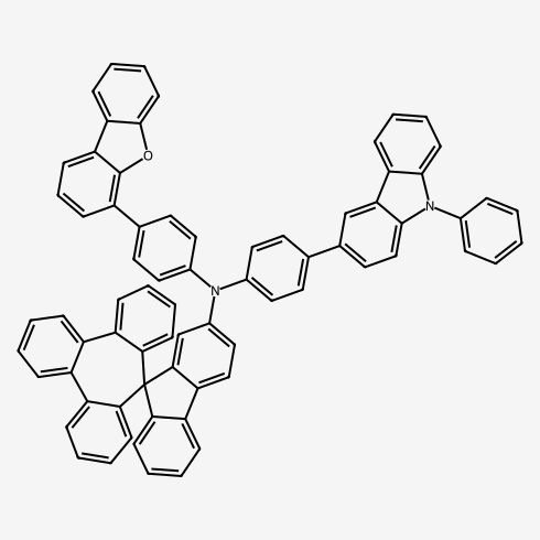 c1ccc(-n2c3ccccc3c3cc(-c4ccc(N(c5ccc(-c6cccc7c6oc6ccccc67)cc5)c5ccc6c(c5)C5(c7ccccc7-c7ccccc7-c7ccccc75)c5ccccc5-6)cc4)ccc32)cc1